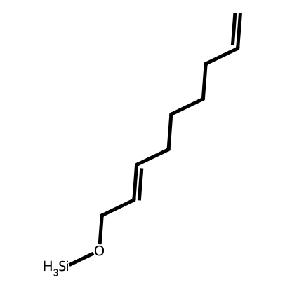 C=CCCCCC=CCO[SiH3]